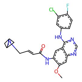 COc1cc2ncnc(Nc3ccc(F)c(Cl)c3)c2cc1NC(=O)/C=C/CN1CC2CC1C2